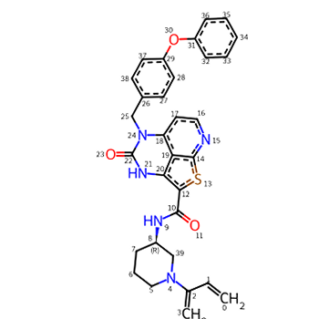 C=CC(=C)N1CCC[C@@H](NC(=O)c2sc3nccc4c3c2NC(=O)N4Cc2ccc(Oc3ccccc3)cc2)C1